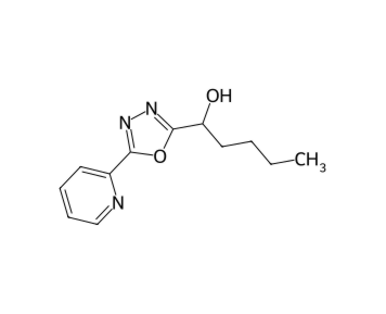 CCCCC(O)c1nnc(-c2ccccn2)o1